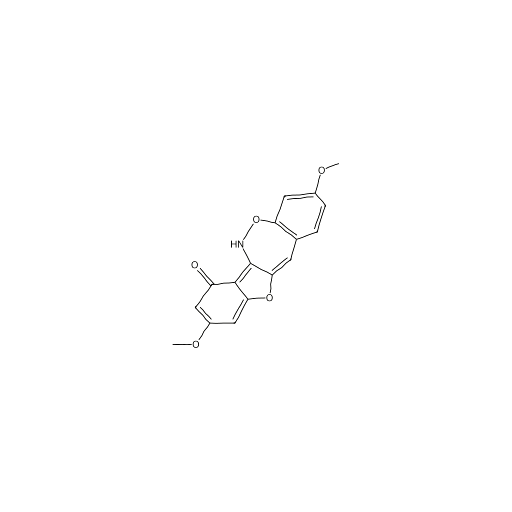 COC1=CC(=O)c2c3c(oc2=C1)=Cc1ccc(OC)cc1ON3